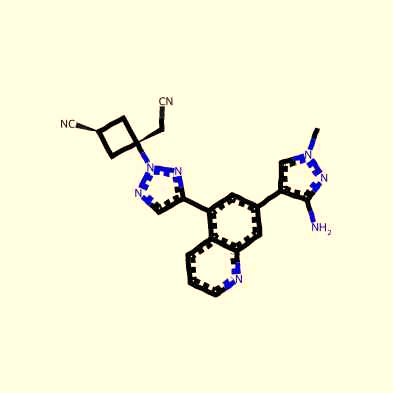 Cn1cc(-c2cc(-c3cnn([C@]4(CC#N)C[C@@H](C#N)C4)n3)c3cccnc3c2)c(N)n1